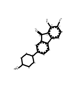 CCCC1CCC(c2ccc3c(c2)C(=O)c2c-3ccc(F)c2F)CC1